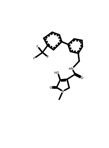 CN1CC(C(=O)NCc2cccc(-c3cccc(C(F)(F)F)c3)c2)=C(O)C1=O